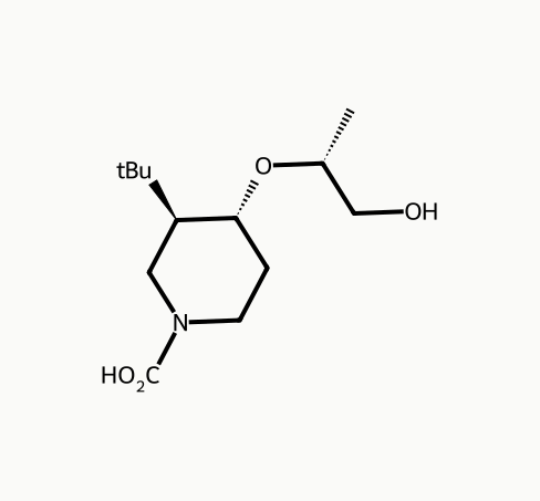 C[C@H](CO)O[C@@H]1CCN(C(=O)O)C[C@H]1C(C)(C)C